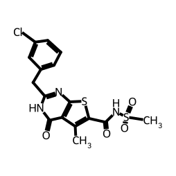 Cc1c(C(=O)NS(C)(=O)=O)sc2nc(Cc3cccc(Cl)c3)[nH]c(=O)c12